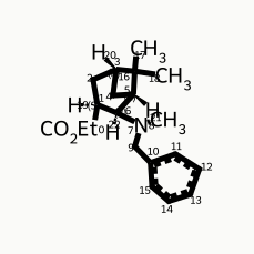 CCOC(=O)[C@H]1C[C@H]2C[C@@H]([C@H]1N(C)Cc1ccccc1)C2(C)C